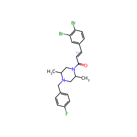 CC1CN(C(=O)/C=C/c2ccc(Br)c(Br)c2)C(C)CN1Cc1ccc(F)cc1